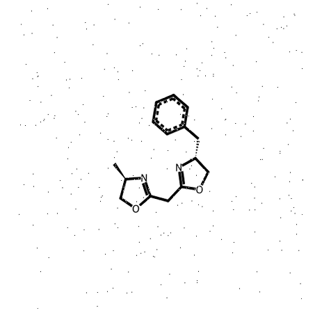 C[C@@H]1COC(CC2=N[C@H](Cc3ccccc3)CO2)=N1